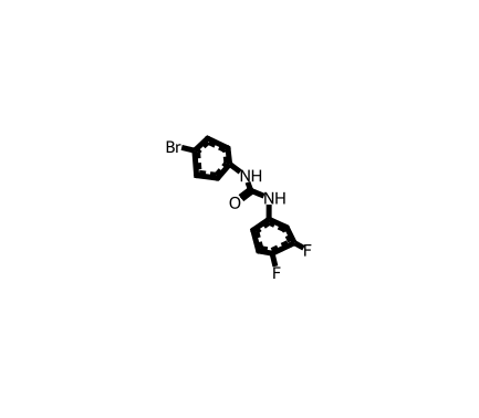 O=C(Nc1ccc(Br)cc1)Nc1ccc(F)c(F)c1